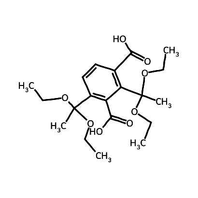 CCOC(C)(OCC)c1ccc(C(=O)O)c(C(C)(OCC)OCC)c1C(=O)O